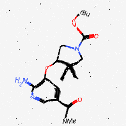 CNC(=O)c1cnc(N)c(OC2CN(C(=O)OC(C)(C)C)CC2(C)C)c1